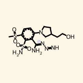 CS(=O)(=O)c1ccc(N2CCC(CCO)C2)c(/C(N)=N/N=N)c1S(N)(=O)=O